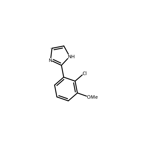 COc1cccc(-c2n[c]c[nH]2)c1Cl